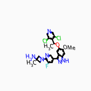 COc1cc2[nH]nc(-c3cnc(N4CC(C)(N)C4)c(F)c3)c2cc1O[C@H](C)c1c(Cl)cncc1Cl